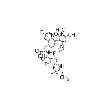 CC[C@@H](Nc1cc(F)c(C(=O)N[C@@H](Cc2ccc(-c3c(N4CCC4)cc(C)n(C)c3=O)c3ncc(F)cc23)C(=O)O)c(F)c1)C(F)(F)F